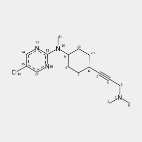 CN(C)CC#CC1CCC(N(C)c2ncc(Cl)cn2)CC1